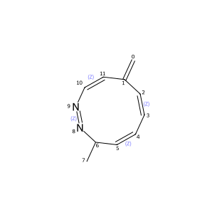 C=C1/C=C\C=C/C(C)/N=N\C=C/1